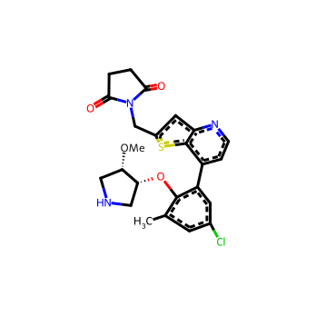 CO[C@H]1CNC[C@H]1Oc1c(C)cc(Cl)cc1-c1ccnc2cc(CN3C(=O)CCC3=O)sc12